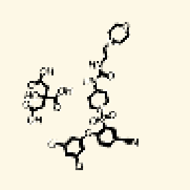 N#Cc1ccc(Oc2cc(Cl)cc(Cl)c2)c(S(=O)(=O)N2CCC(NC(=O)NCCN3CCOCC3)CC2)c1.O=C(O)CC(O)(CC(=O)O)C(=O)O